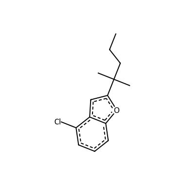 CCCC(C)(C)c1cc2c(Cl)cccc2o1